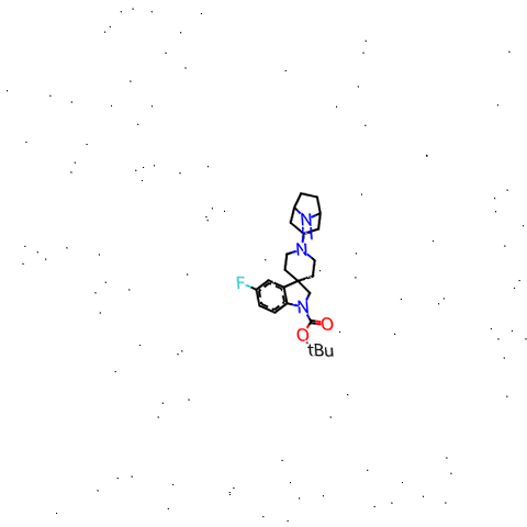 CC(C)(C)OC(=O)N1CC2(CCN(C3CC4CCC(C3)N4)CC2)c2cc(F)ccc21